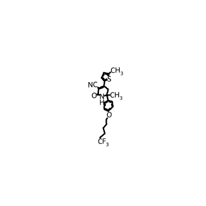 Cc1ccc(C2=C(C#N)C(=O)NC(C)(c3ccc(OCCCCCC(F)(F)F)cc3)C2)s1